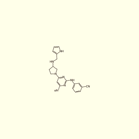 CCCc1cc(N2CCC(NCc3ccc[nH]3)C2)nc(Nc2cccc(C#N)c2)n1